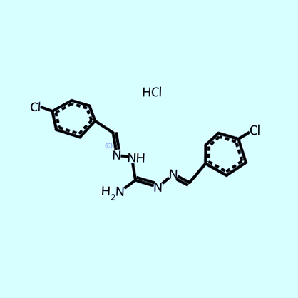 Cl.NC(=NN=Cc1ccc(Cl)cc1)N/N=C/c1ccc(Cl)cc1